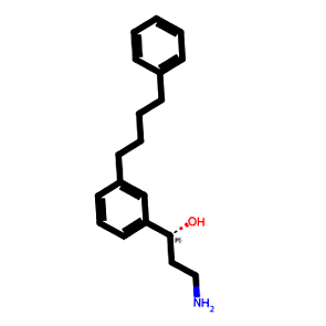 NCC[C@@H](O)c1cccc(CCCCc2ccccc2)c1